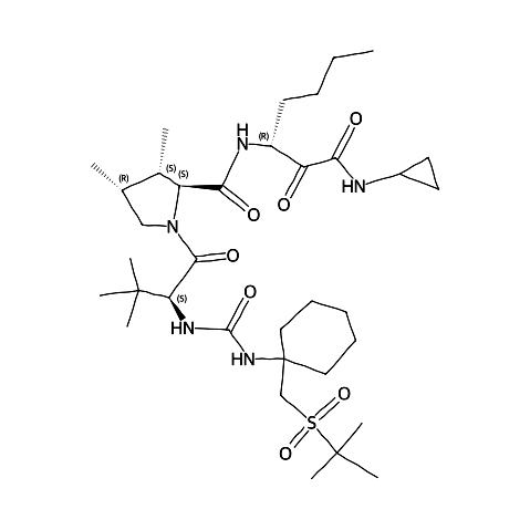 CCCC[C@@H](NC(=O)[C@@H]1[C@@H](C)[C@@H](C)CN1C(=O)[C@@H](NC(=O)NC1(CS(=O)(=O)C(C)(C)C)CCCCC1)C(C)(C)C)C(=O)C(=O)NC1CC1